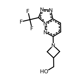 OCC1CN(c2ccc3nnc(C(F)(F)F)n3n2)C1